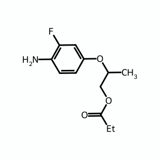 CCC(=O)OCC(C)Oc1ccc(N)c(F)c1